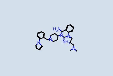 CN(C)CCCN1c2ccccc2C(N)N(C2CCN(Cc3ccccc3-n3cccc3)CC2)C1N